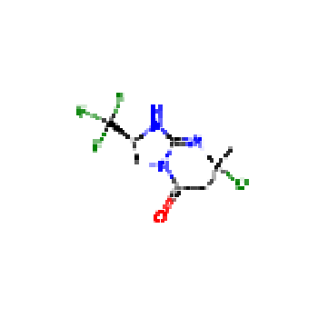 CC1(Cl)CC(=O)N2C[C@@H](C(F)(F)F)NC2=N1